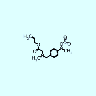 C=CCOC(=O)CN(C)Cc1ccc(N(C)O[SH](=O)=O)cc1